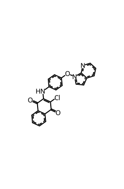 O=C1C(Cl)=C(Nc2ccc(On3ccc4cccnc43)cc2)C(=O)c2ccccc21